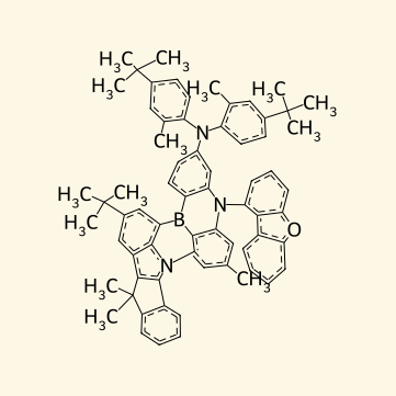 Cc1cc2c3c(c1)-n1c4c(c5cc(C(C)(C)C)cc(c51)B3c1ccc(N(c3ccc(C(C)(C)C)cc3C)c3ccc(C(C)(C)C)cc3C)cc1N2c1cccc2oc3ccccc3c12)C(C)(C)c1ccccc1-4